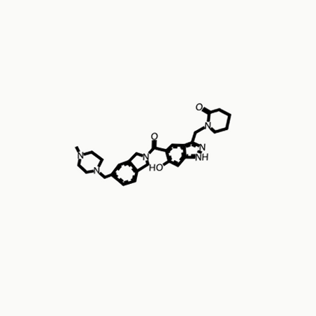 CN1CCN(Cc2ccc3c(c2)CN(C(=O)c2cc4c(CN5CCCCC5=O)n[nH]c4cc2O)C3)CC1